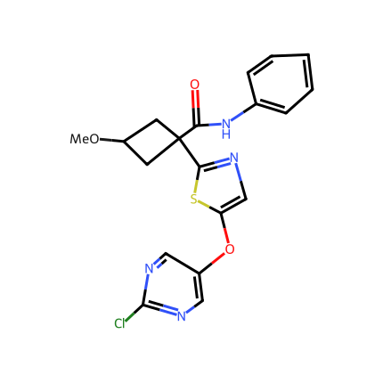 COC1CC(C(=O)Nc2ccccc2)(c2ncc(Oc3cnc(Cl)nc3)s2)C1